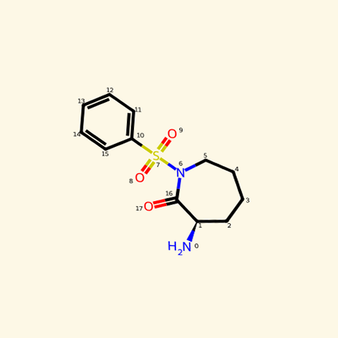 N[C@@H]1CCCCN(S(=O)(=O)c2ccccc2)C1=O